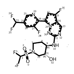 O=S(=O)(C(F)F)N1CC[C@@H](Nc2ncc3c(F)cc(-c4ncc(C(F)F)cc4F)n3n2)[C@H](O)C1